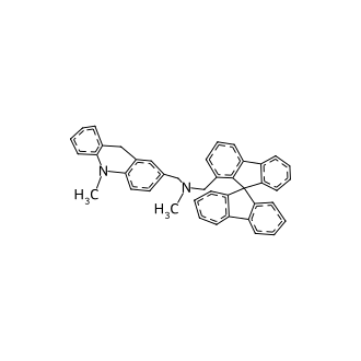 CN(Cc1ccc2c(c1)Cc1ccccc1N2C)Cc1cccc2c1C1(c3ccccc3-c3ccccc31)c1ccccc1-2